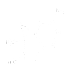 CN1Cc2ccc(N)cc2C1(C)C